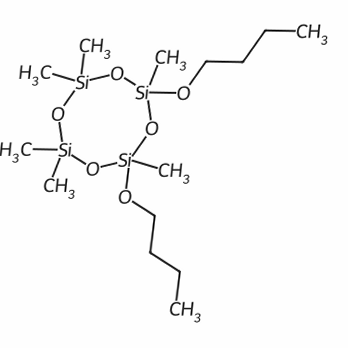 CCCCO[Si]1(C)O[Si](C)(C)O[Si](C)(C)O[Si](C)(OCCCC)O1